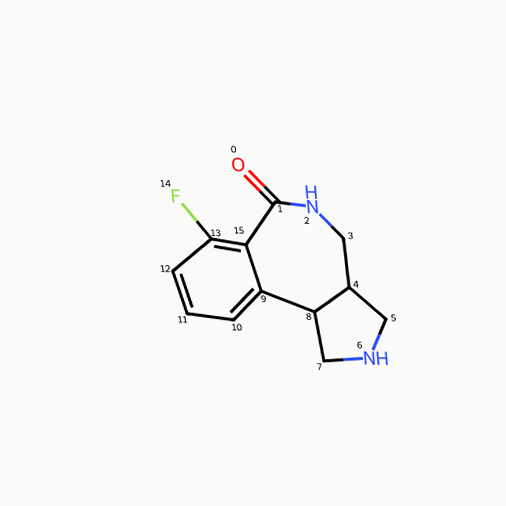 O=C1NCC2CNCC2c2cccc(F)c21